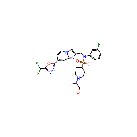 CC(CO)N1CCC(S(=O)(=O)N(Cc2cn3ccc(-c4nnc(C(F)F)o4)cc3n2)c2cccc(F)c2)CC1